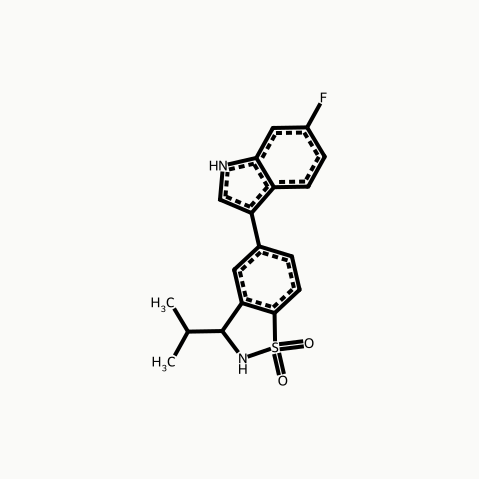 CC(C)C1NS(=O)(=O)c2ccc(-c3c[nH]c4cc(F)ccc34)cc21